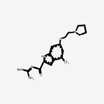 CNC(N)=NC(=O)c1cc2c(C(F)(F)F)cc(OCCN3CCCC3)cc2[nH]1